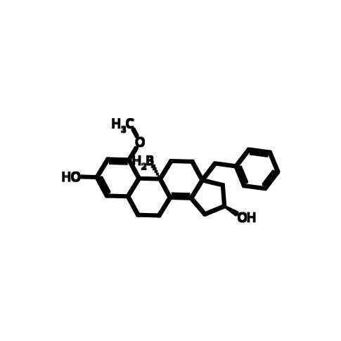 B[C@]12CCC3(Cc4ccccc4)C[C@@H](O)CC3=C1CCC1C=C(O)C=C(OC)C12